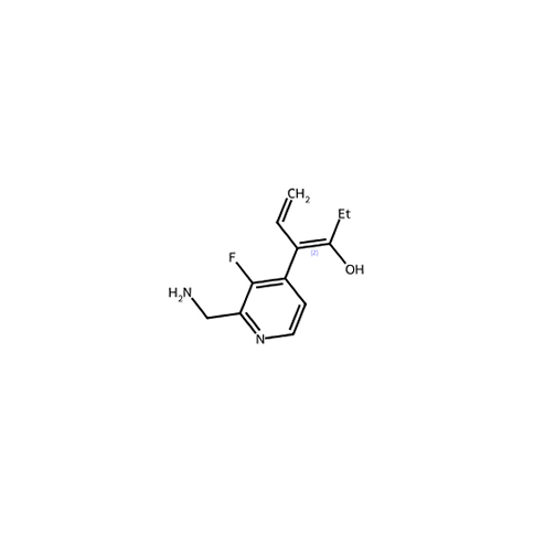 C=C/C(=C(/O)CC)c1ccnc(CN)c1F